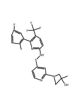 Cc1ccc(F)cc1-c1nc(NSc2ccnc(N3CC(C)(O)C3)c2)ccc1C(F)(F)F